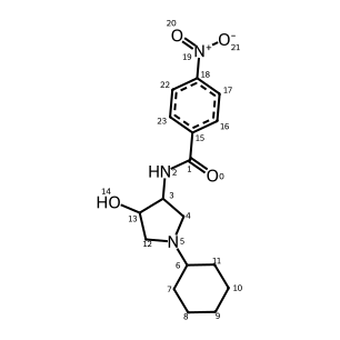 O=C(NC1CN(C2CCCCC2)CC1O)c1ccc([N+](=O)[O-])cc1